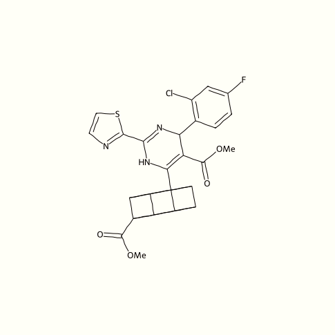 COC(=O)C1=C(C23C4C5C2C2C3C4C52C(=O)OC)NC(c2nccs2)=NC1c1ccc(F)cc1Cl